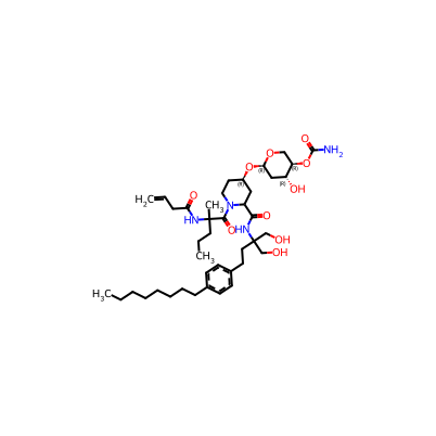 C=CCC(=O)NC(C)(CCC)C(=O)N1CC[C@@H](O[C@@H]2C[C@@H](O)[C@H](OC(N)=O)CO2)CC1C(=O)NC(CO)(CO)CCc1ccc(CCCCCCCC)cc1